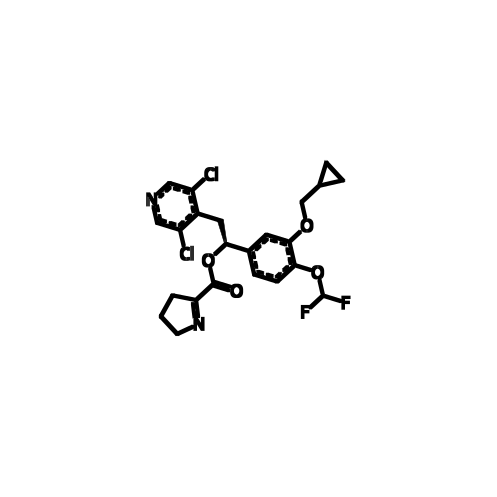 O=C(O[C@@H](Cc1c(Cl)cncc1Cl)c1ccc(OC(F)F)c(OCC2CC2)c1)C1=NCCC1